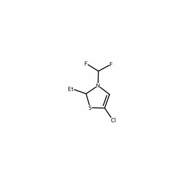 [CH2]CC1SC(Cl)=CN1C(F)F